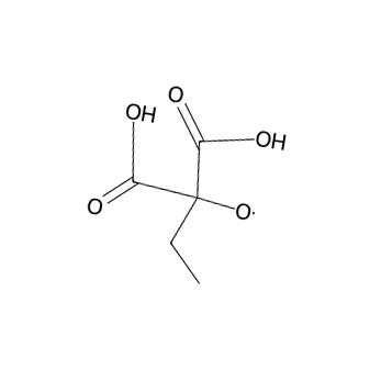 CCC([O])(C(=O)O)C(=O)O